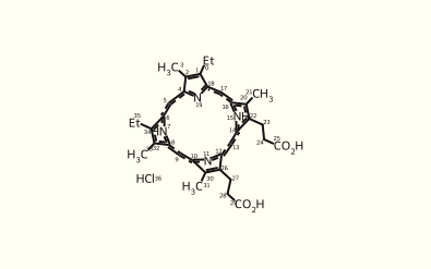 CCC1=C(C)c2cc3[nH]c(cc4nc(cc5[nH]c(cc1n2)c(C)c5CCC(=O)O)C(CCC(=O)O)=C4C)c(C)c3CC.Cl